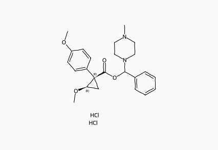 COc1ccc([C@]2(C(=O)OC(c3ccccc3)N3CCN(C)CC3)C[C@H]2OC)cc1.Cl.Cl